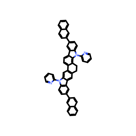 c1ccc(-n2c3ccc(-c4ccc5ccccc5c4)cc3c3cc4c(cc32)-c2ccc3c5cc(-c6ccc7ccccc7c6)ccc5n(-c5ccccn5)c3c2CC4)nc1